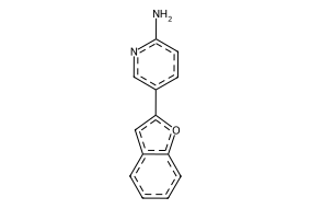 Nc1ccc(-c2cc3ccccc3o2)cn1